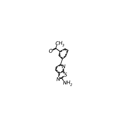 CC(=O)c1cccc(-c2ccc3nc(N)sc3n2)c1